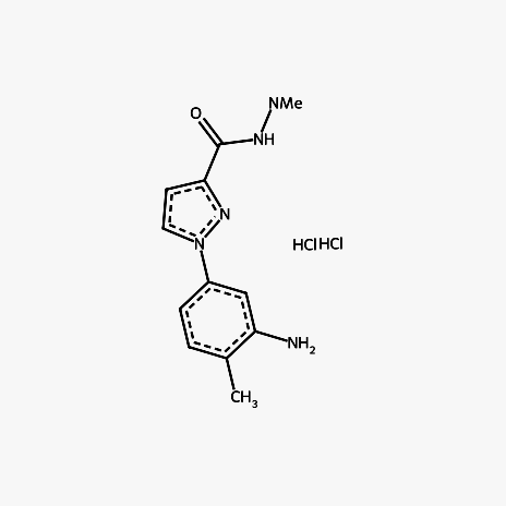 CNNC(=O)c1ccn(-c2ccc(C)c(N)c2)n1.Cl.Cl